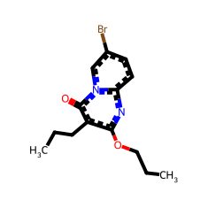 CCCOc1nc2ccc(Br)cn2c(=O)c1CCC